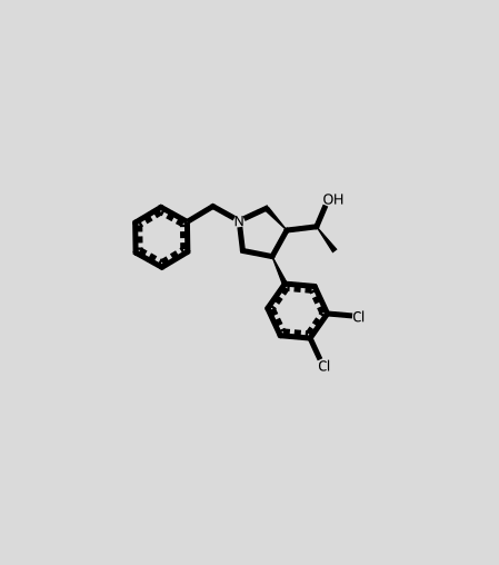 C[C@H](O)[C@@H]1CN(Cc2ccccc2)C[C@@H]1c1ccc(Cl)c(Cl)c1